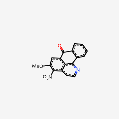 COc1cc2c3c(nccc3c1[N+](=O)[O-])-c1ccccc1C2=O